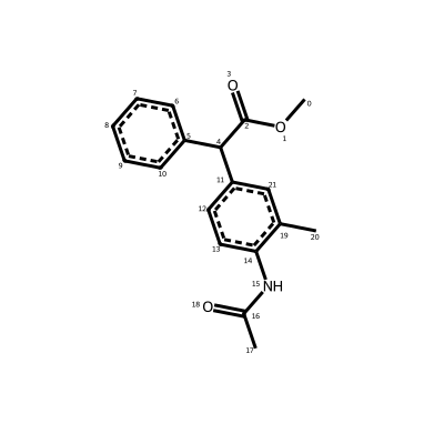 COC(=O)C(c1ccccc1)c1ccc(NC(C)=O)c(C)c1